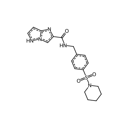 O=C(NCc1ccc(S(=O)(=O)N2CCCCC2)cc1)c1cn2[nH]ccc2n1